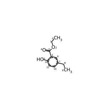 CCOC(=O)c1cc(CC)ccc1O